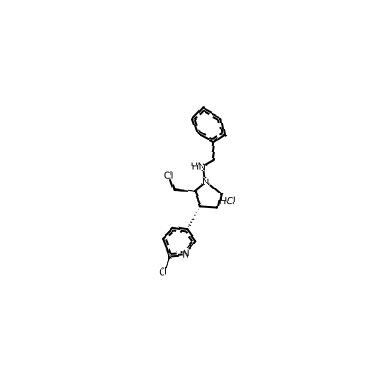 Cl.ClC[C@@H]1[C@@H](c2ccc(Cl)nc2)CCN1NCc1ccccc1